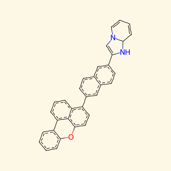 C1=CC2NC(c3ccc4cc(-c5ccc6c7c(cccc57)-c5ccccc5O6)ccc4c3)=CN2C=C1